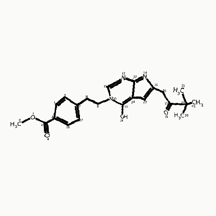 COC(=O)c1ccc(CCn2cnc3nc(CC(=O)C(C)(C)C)cc-3c2O)cc1